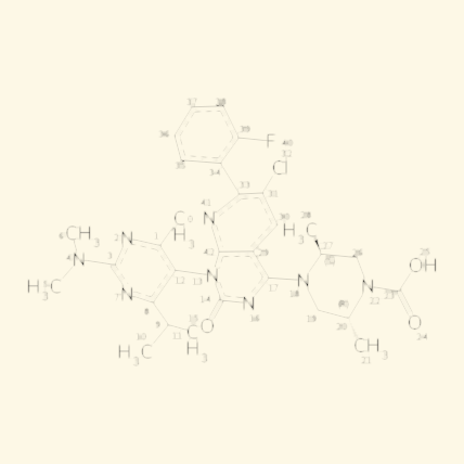 Cc1nc(N(C)C)nc(C(C)C)c1-n1c(=O)nc(N2C[C@@H](C)N(C(=O)O)C[C@@H]2C)c2cc(Cl)c(-c3ccccc3F)nc21